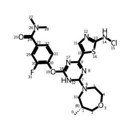 C[C@H]1COCCN(C2N=C(c3cnc(NCl)s3)N=C(Oc3ccc(C(=O)N(C)C)cc3F)N2)C1